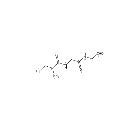 NC(CS)C(=O)NCC(=O)NCC=O